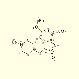 CCCCOc1nc(NC)c2[nH]c(=O)n(CC3CCN(CC)CC3)c2n1